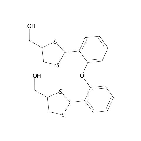 OCC1CSC(c2ccccc2Oc2ccccc2C2SCC(CO)S2)S1